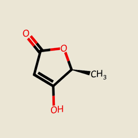 C[C@@H]1OC(=O)C=C1O